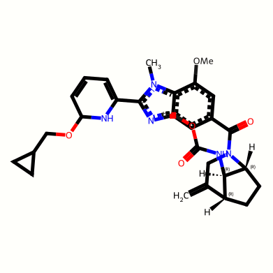 C=C1CN(C(=O)c2cc(OC)c3c(c2)nc(C2=CC=CC(OCC4CC4)N2)n3C)[C@@H]2CC[C@H]1[C@H]2NC(=O)OC(C)(C)C